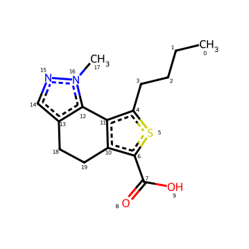 CCCCc1sc(C(=O)O)c2c1-c1c(cnn1C)CC2